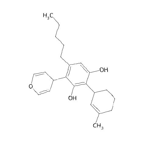 CCCCCc1cc(O)c(C2C=C(C)CCC2)c(O)c1C1C=COC=C1